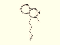 C=CCCCc1c(C)ncc2ccccc12